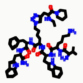 CCNC(Cc1cn(CCCCC(NC(=O)C(Cc2cc3ccccc3[nH]2)NC(=O)C(CCCCN)NC(=O)C(N)C(C)C)C(=O)NC(Cc2ccccc2)C(=O)NC(Cc2cc3ccccc3[nH]2)C(N)=O)nn1)C(=O)N1CCCCC1